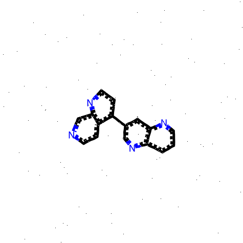 [c]1c(-c2ccnc3cnccc23)cnc2cccnc12